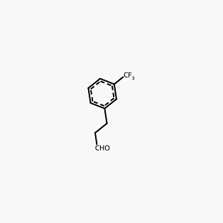 O=CCCc1cccc(C(F)(F)F)c1